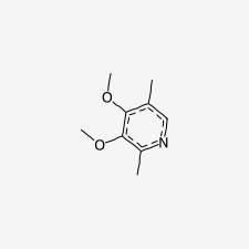 COc1c(C)cnc(C)c1OC